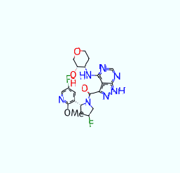 COc1ncc(F)cc1[C@H]1C[C@H](F)CN1C(=O)c1n[nH]c2ncnc(N[C@@H]3CCOC[C@H]3O)c12